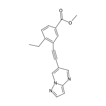 CCc1ccc(C(=O)OC)cc1C#Cc1cnc2ccnn2c1